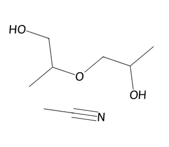 CC#N.CC(O)COC(C)CO